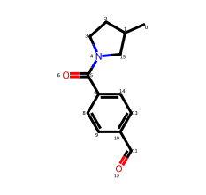 CC1CCN(C(=O)c2ccc(C=O)cc2)C1